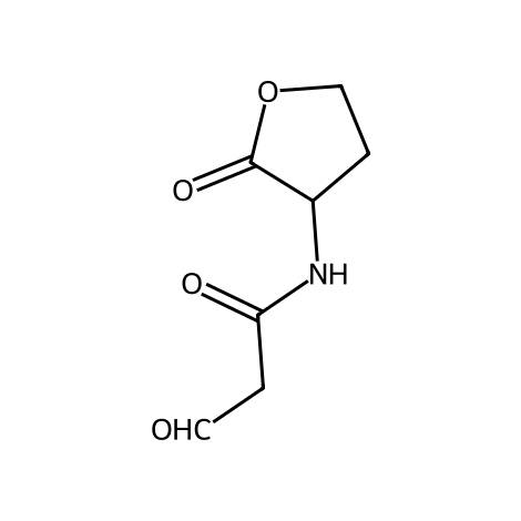 O=CCC(=O)NC1CCOC1=O